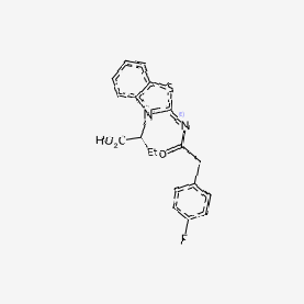 CCC(C(=O)O)n1/c(=N\C(=O)Cc2ccc(F)cc2)sc2ccccc21